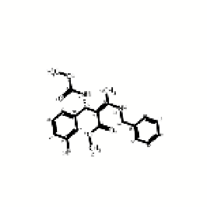 COC(=O)N[C@H](C(C(=O)OC)=C(C)NCc1ccccc1)c1cccc(F)c1